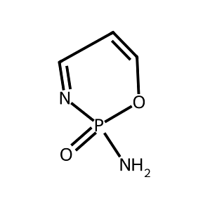 NP1(=O)N=CC=CO1